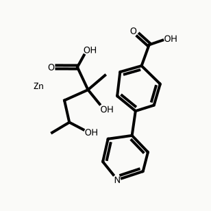 CC(O)CC(C)(O)C(=O)O.O=C(O)c1ccc(-c2ccncc2)cc1.[Zn]